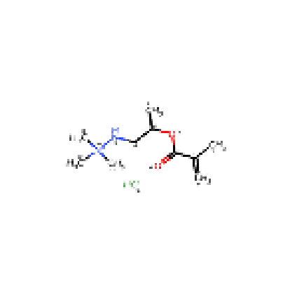 C=C(C)C(=O)OC(C)CN[N+](C)(C)C.Cl